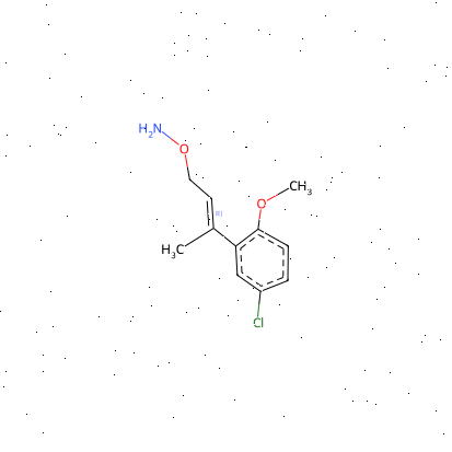 COc1ccc(Cl)cc1/C(C)=C/CON